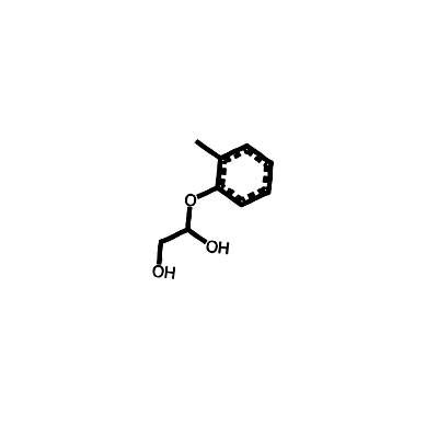 Cc1ccccc1OC(O)CO